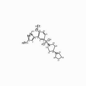 CCCc1cc(-c2cc(S(=O)(=O)N3CCC(N4CCCC4)CC3)ccc2OCC)n(C)n1